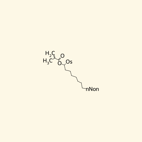 C=C(C)C(=O)O[CH]([Os])CCCCCCCCCCCCCCCC